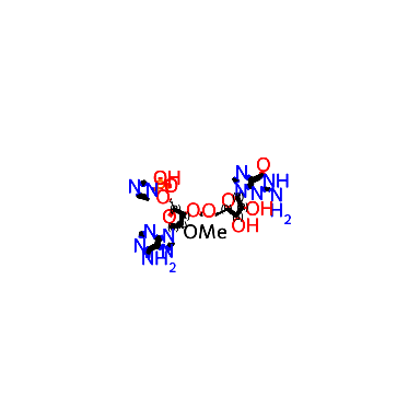 CO[C@@H]1[C@H](OCOC[C@H]2O[C@@H](n3cnc4c(=O)[nH]c(N)nc43)[C@H](O)[C@@H]2O)[C@@H](COP(=O)(O)n2ccnc2)O[C@H]1n1cnc2c(N)ncnc21